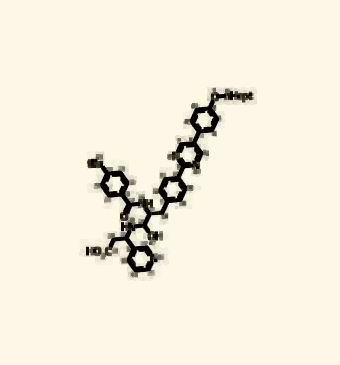 CCCCCCCOc1ccc(-c2cnc(-c3ccc(C[C@H](NC(=O)c4ccc(C(C)(C)C)cc4)C(O)NC(CC(=O)O)c4cccnc4)cc3)nc2)cc1